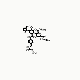 CCC(C)NC(=O)c1ccc(-c2cc3c(cc2C(=O)Nc2ccc(CNC(=O)OC(C)(C)C)cc2)-c2sccc2CCO3)c(C(=O)OC)n1